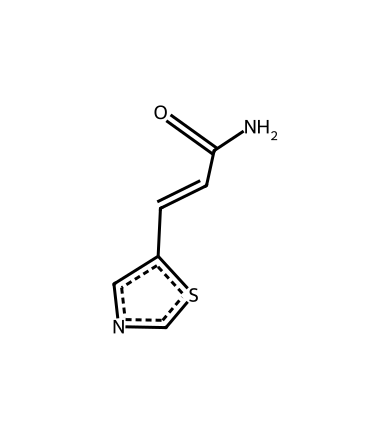 NC(=O)C=Cc1cncs1